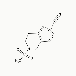 CS(=O)(=O)N1CCc2cc(C#N)ccc2C1